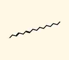 [CH2]CC=CCC=CCCCCCCCCC